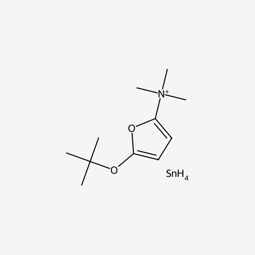 CC(C)(C)Oc1ccc([N+](C)(C)C)o1.[SnH4]